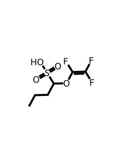 CCCC(OC(F)=C(F)F)S(=O)(=O)O